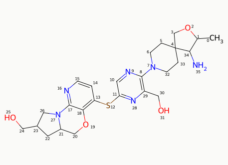 CC1OCC2(CCN(c3ncc(Sc4ccnc5c4OCC4CC(CO)CN54)nc3CO)CC2)C1N